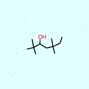 CCC(C)(C)CC(O)C(C)(C)C